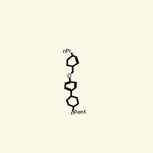 CCCCCC1CCC(c2ccc(OCC3C=CC(CCC)CC3)cc2)CC1